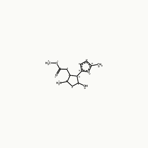 COC(=O)CC1C(N)CC(O)C1c1ccc(C)o1